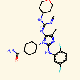 C=N/C(=N\c1c(C)nc(Nc2cc(F)ccc2F)n1[C@H]1CC[C@@H](C(N)=O)CC1)NC1CCOCC1